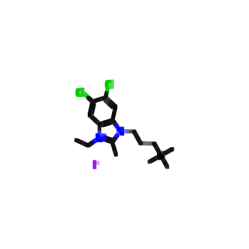 CC[n+]1c(C)n(CCC[Si](C)(C)C)c2cc(Cl)c(Cl)cc21.[I-]